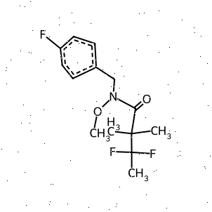 CON(Cc1ccc(F)cc1)C(=O)C(C)(C)C(C)(F)F